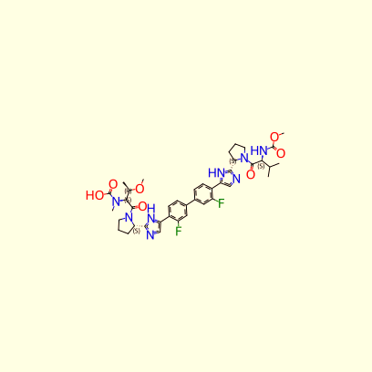 COC(=O)N[C@H](C(=O)N1CCC[C@H]1c1ncc(-c2ccc(-c3ccc(-c4cnc([C@@H]5CCCN5C(=O)[C@H]([C@@H](C)OC)N(C)C(=O)O)[nH]4)c(F)c3)cc2F)[nH]1)C(C)C